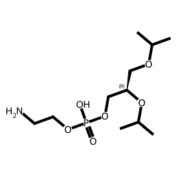 CC(C)OC[C@H](COP(=O)(O)OCCN)OC(C)C